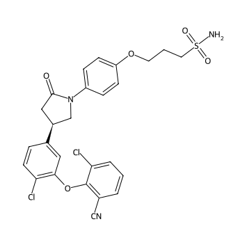 N#Cc1cccc(Cl)c1Oc1cc([C@H]2CC(=O)N(c3ccc(OCCCS(N)(=O)=O)cc3)C2)ccc1Cl